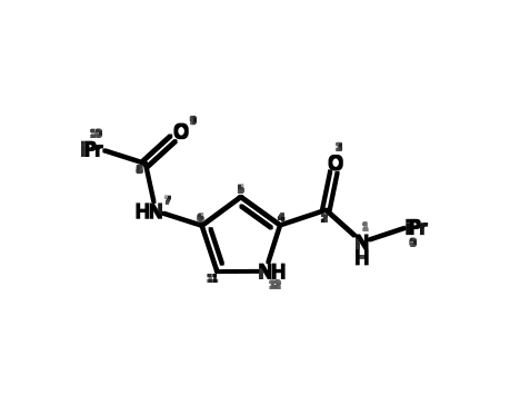 CC(C)NC(=O)c1cc(NC(=O)C(C)C)c[nH]1